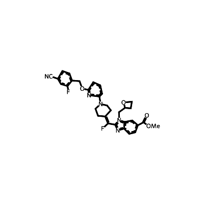 COC(=O)c1ccc2nc(C(F)=C3CCN(c4cccc(OCc5ccc(C#N)cc5F)n4)CC3)n(CC3CCO3)c2c1